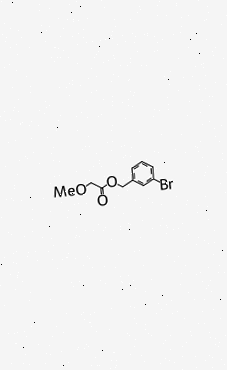 COCC(=O)OCc1cccc(Br)c1